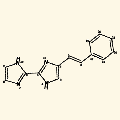 C(=Cc1c[nH]c(-c2ncc[nH]2)n1)c1ccccc1